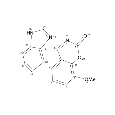 COc1cccc2cnc(=O)oc12.c1ccc2[nH]cnc2c1